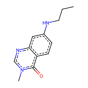 CCCNc1ccc2c(=O)n(C)cnc2c1